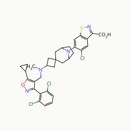 CN(Cc1c(-c2c(Cl)cccc2Cl)noc1C1CC1)C1CC2(C1)CC1CCC(C2)N1c1cc2snc(C(=O)O)c2cc1Cl